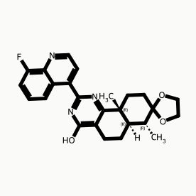 C[C@@H]1[C@H]2CCc3c(O)nc(-c4ccnc5c(F)cccc45)nc3[C@]2(C)CCC12OCCO2